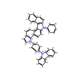 c1ccc(-n2c3ccc4ccccc4c3c3c4ccc5ccn(-c6ccc(-n7c8ccccc8c8ccccc87)cc6)c5c4ccc32)cc1